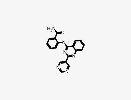 NC(=O)c1ccccc1Nc1nc(-c2cncnc2)nc2ccccc12